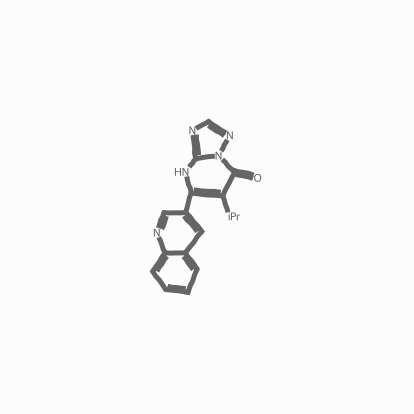 CC(C)c1c(-c2cnc3ccccc3c2)[nH]c2ncnn2c1=O